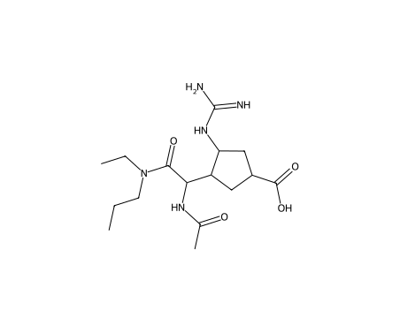 CCCN(CC)C(=O)C(NC(C)=O)C1CC(C(=O)O)CC1NC(=N)N